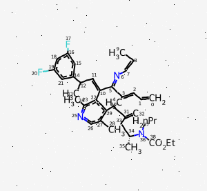 C=C/C=C(C)/C(=N\C=C/C)C(=C/C(C)c1cc(F)cc(F)c1)/c1c(C)ncc(C)c1CC(=C)C[C@@H](C)N(CCC)C(=O)OCC